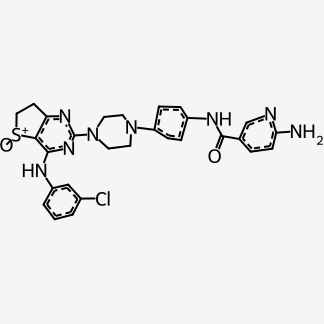 Nc1ccc(C(=O)Nc2ccc(N3CCN(c4nc5c(c(Nc6cccc(Cl)c6)n4)[S+]([O-])CC5)CC3)cc2)cn1